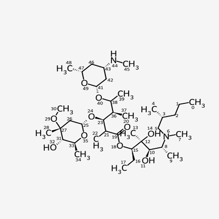 CCC[C@@H](C)CN(C)[C@H](C)[C@@H](O)[C@](C)(O)[C@@H](CC)OC(=O)C(C)[C@@H](O[C@H]1C[C@@](C)(OC)[C@@H](O)[C@H](C)O1)[C@H](C)C(C)O[C@H]1C[C@@H](NC)C[C@@H](C)O1